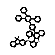 CC1(C)c2ccccc2-c2ccc(N(c3ccccc3)c3cccc4oc5c6ccccc6c(-c6ccc(-c7cc(-c8ccccc8)c(-c8ccccc8)cc7-c7ccccc7)cc6)cc5c34)cc21